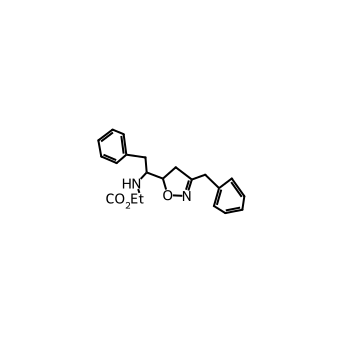 CCOC(=O)NC(Cc1ccccc1)C1CC(Cc2ccccc2)=NO1